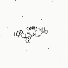 CC[C@@]1(CN)O[C@@H](n2ccc(=O)[nH]c2=O)[C@@H](OC)C1O